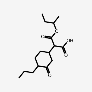 CCCC1CCC(C(C(=O)O)C(=O)OC(C)CC)CC1=O